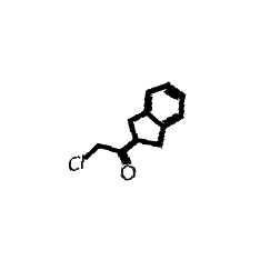 O=C(CCl)C1Cc2ccccc2C1